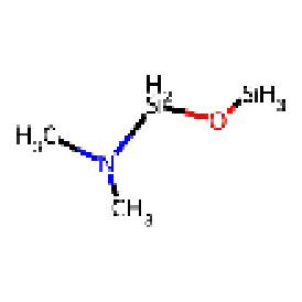 CN(C)[SiH2]O[SiH3]